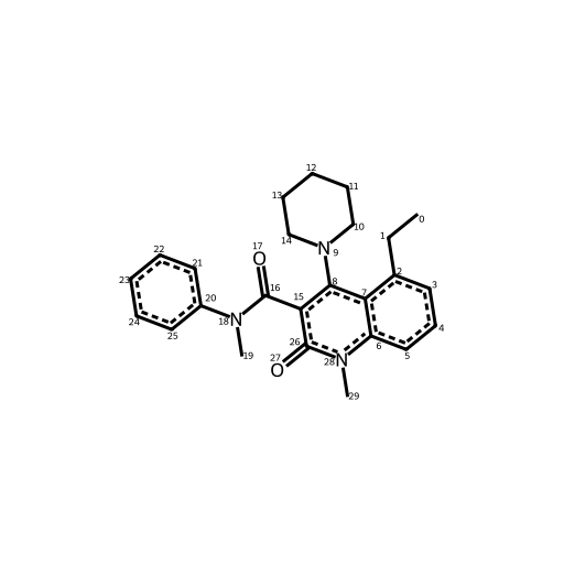 CCc1cccc2c1c(N1CCCCC1)c(C(=O)N(C)c1ccccc1)c(=O)n2C